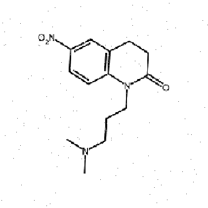 CN(C)CCCN1C(=O)CCc2cc([N+](=O)[O-])ccc21